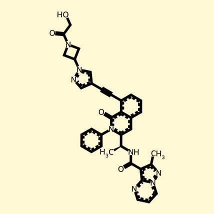 Cc1nn2cccnc2c1C(=O)N[C@@H](C)c1cc2cccc(C#Cc3cnn(C4CN(C(=O)CO)C4)c3)c2c(=O)n1-c1ccccc1